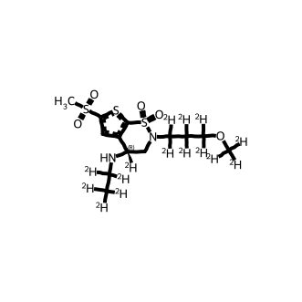 [2H]C([2H])([2H])OC([2H])([2H])C([2H])([2H])C([2H])([2H])N1C[C@]([2H])(NC([2H])([2H])C([2H])([2H])[2H])c2cc(S(C)(=O)=O)sc2S1(=O)=O